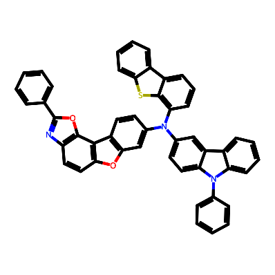 c1ccc(-c2nc3ccc4oc5cc(N(c6ccc7c(c6)c6ccccc6n7-c6ccccc6)c6cccc7c6sc6ccccc67)ccc5c4c3o2)cc1